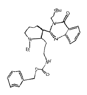 CCN1CCCC(c2nc3ccccc3c(=O)n2CC(C)(C)C)C1CCNC(=O)OCc1ccccc1